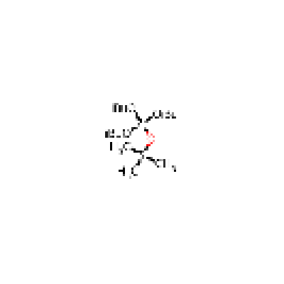 CC(C)C[O][Zr]([O]CC(C)C)([O]CC(C)C)[O][Si](C)(C)C